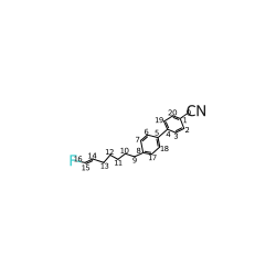 N#Cc1ccc(-c2ccc(CCCCC/C=C/F)cc2)cc1